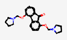 O=C1c2cccc(OCN3CCCC3)c2-c2cccc(OCN3CCCC3)c21